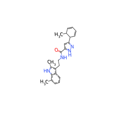 Cc1[nH]c2c(C)cccc2c1CCNC(=O)c1cc(C2C=CC=CC2C)n[nH]1